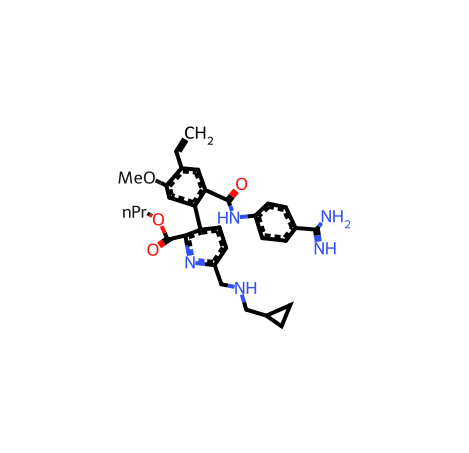 C=Cc1cc(C(=O)Nc2ccc(C(=N)N)cc2)c(-c2ccc(CNCC3CC3)nc2C(=O)OCCC)cc1OC